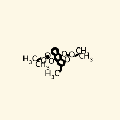 CCc1ccc2c(OC(=O)OCC(C)C)c3ccccc3c(OC(=O)OCC(C)C)c2c1